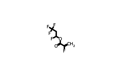 C=C(F)C(=O)OC(F)CC(F)(F)F